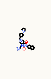 CN(C)CCN1C(=O)N(C2Cc3ccccc3C2)C(=O)C12CCN(Cc1ccc(N3CCCC3)cc1)CC2